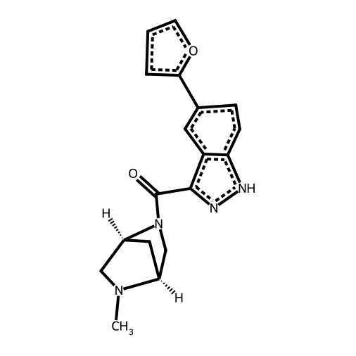 CN1C[C@@H]2C[C@H]1CN2C(=O)c1n[nH]c2ccc(-c3ccco3)cc12